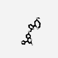 COC1CCOC(c2cccc(COc3ccc4c(-c5ccsc5)cc(=O)oc4c3)n2)C1